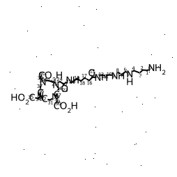 NCCCCNCCCNCCCNC(=O)CCCCCNC(=O)CN1CCN(CC(=O)O)CCN(CC(=O)O)CCN(CC(=O)O)CC1